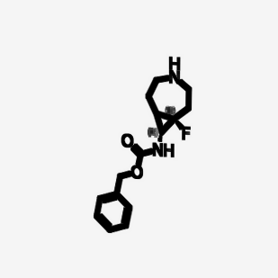 O=C(N[C@@H]1C2CCNCC[C@@]21F)OCc1ccccc1